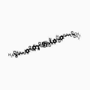 C=C(C)C(=O)OCCCCOc1ccc(C(=O)Nc2ccc(/C=C(\C#N)C(=O)O[C@H]3CO[C@H]4[C@@H]3OC[C@H]4OC(=O)/C(C#N)=C/c3ccc(NC(=O)c4ccc(OCCCCOC(=O)C(=C)C)cc4)cc3)cc2)cc1